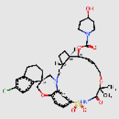 CC1(C)OCC=C[C@H](OC(=O)N2CCC(O)CC2)[C@@H]2CC[C@H]2CN2C[C@@]3(CCCc4cc(Cl)ccc43)COc3ccc(cc32)S(=O)(=O)NC1=O